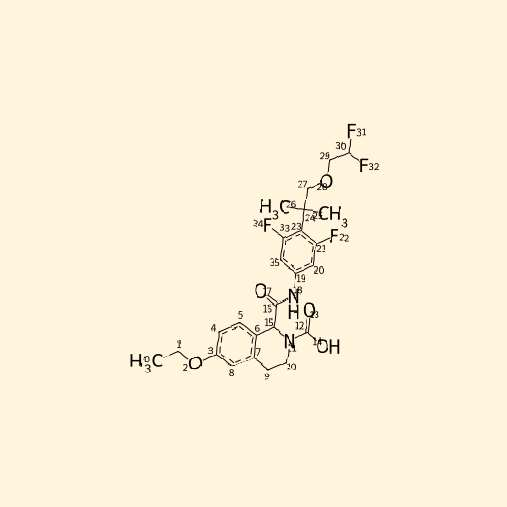 CCOc1ccc2c(c1)CCN(C(=O)O)C2C(=O)Nc1cc(F)c(C(C)(C)COCC(F)F)c(F)c1